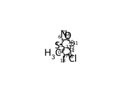 Cc1c(C(=S)c2cnoc2C2CC2)ccc(Cl)c1I